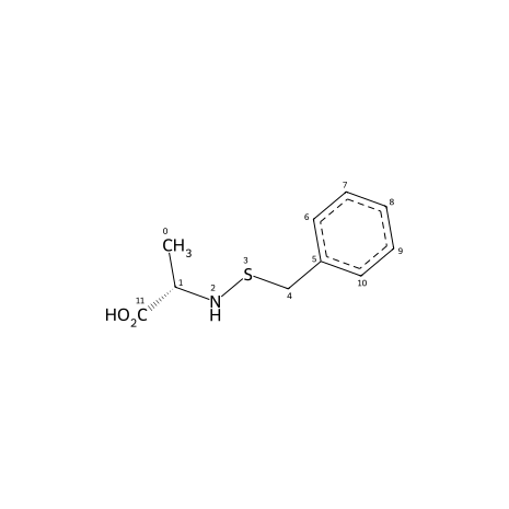 C[C@H](NSCc1ccccc1)C(=O)O